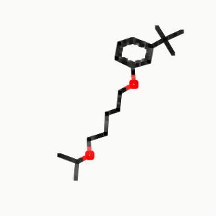 CC(C)OCCCCCOc1cccc(C(C)(C)C)c1